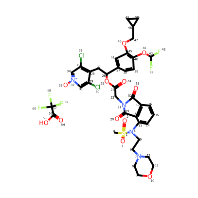 CS(=O)(=O)N(CCN1CCOCC1)c1cccc2c1C(=O)N(CC(=O)OC(Cc1c(Cl)c[n+]([O-])cc1Cl)c1ccc(OC(F)F)c(OCC3CC3)c1)C2=O.O=C(O)C(F)(F)F